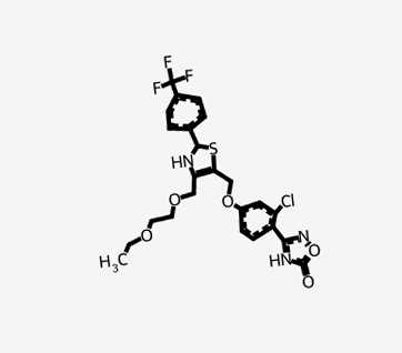 CCOCCOCC1=C(COc2ccc(-c3noc(=O)[nH]3)c(Cl)c2)SC(c2ccc(C(F)(F)F)cc2)N1